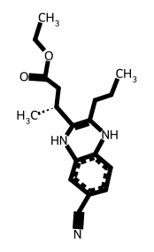 CCCC1=C([C@H](C)CC(=O)OCC)Nc2cc(C#N)ccc2N1